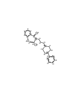 O=C1c2ccccc2OC=C(Cl)N1CCCN1CCN(c2ncccn2)CC1